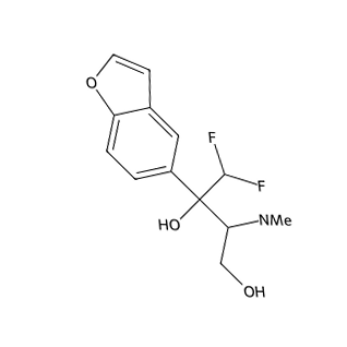 CNC(CO)C(O)(c1ccc2occc2c1)C(F)F